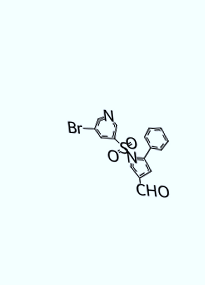 O=Cc1cc(-c2ccccc2)n(S(=O)(=O)c2cncc(Br)c2)c1